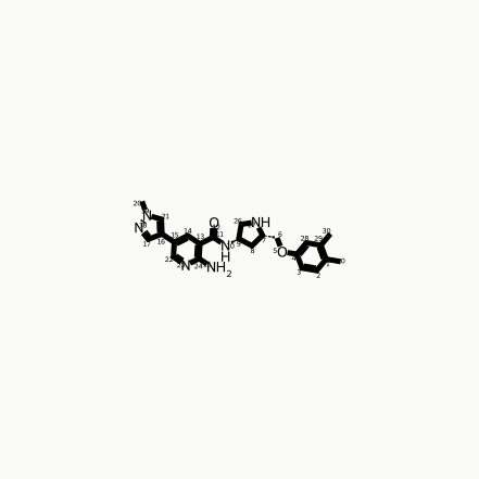 Cc1ccc(OC[C@@H]2C[C@H](NC(=O)c3cc(-c4cnn(C)c4)cnc3N)CN2)cc1C